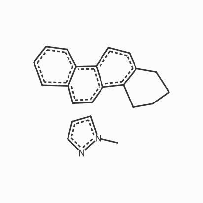 Cn1cccn1.c1ccc2c(c1)ccc1c3c(ccc12)CCCC3